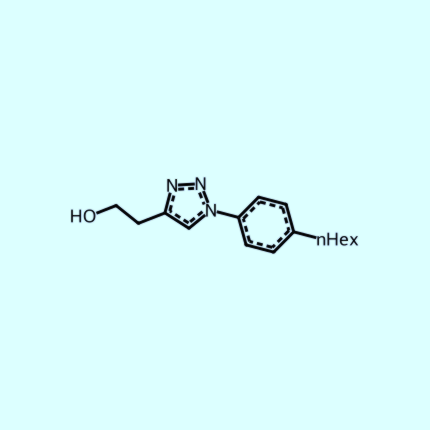 CCCCCCc1ccc(-n2cc(CCO)nn2)cc1